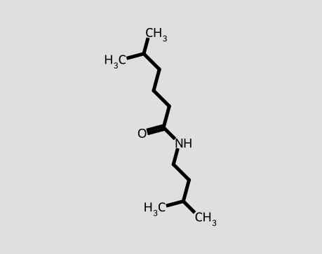 CC(C)CCCC(=O)NCCC(C)C